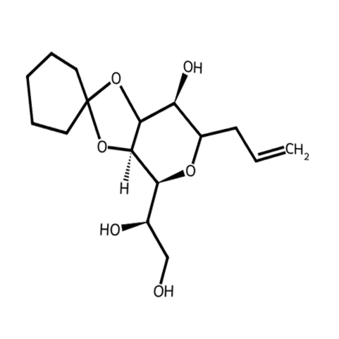 C=CCC1O[C@@H]([C@H](O)CO)[C@H]2OC3(CCCCC3)OC2[C@H]1O